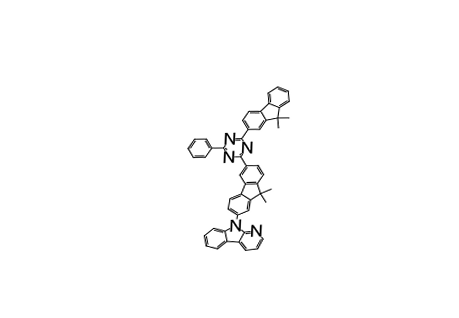 CC1(C)c2ccccc2-c2ccc(-c3nc(-c4ccccc4)nc(-c4ccc5c(c4)-c4ccc(-n6c7ccccc7c7cccnc76)cc4C5(C)C)n3)cc21